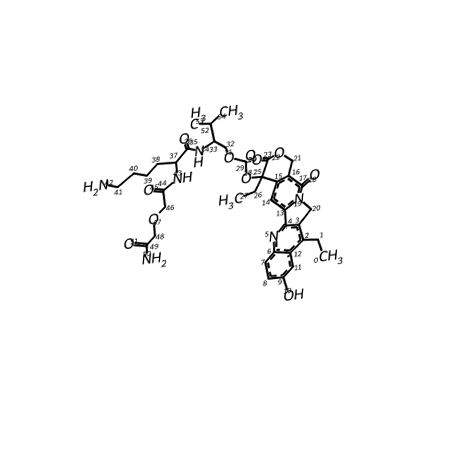 CCc1c2c(nc3ccc(O)cc13)-c1cc3c(c(=O)n1C2)COC(=O)C3(CC)OC(=O)OCC(NC(=O)C(CCCCN)NC(=O)COCC(N)=O)C(C)C